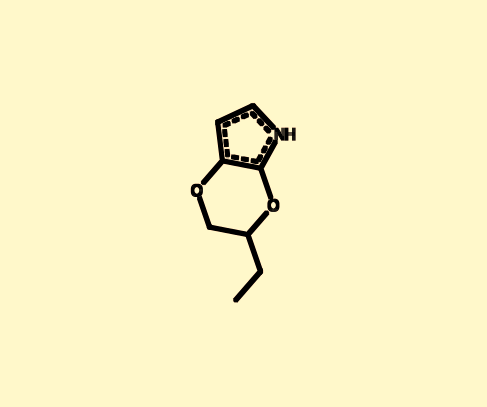 CCC1COc2cc[nH]c2O1